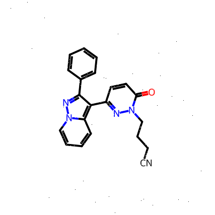 N#CCCCn1nc(-c2c(-c3ccccc3)nn3ccccc23)ccc1=O